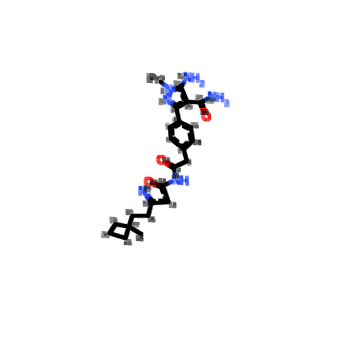 CC(C)n1nc(-c2ccc(CC(=O)Nc3cc(CCC4(C)CCC4)no3)cc2)c(C(N)=O)c1N